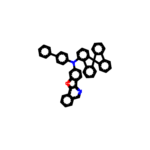 c1ccc(-c2ccc(N(c3ccc4c(c3)oc3c5ccccc5cnc43)c3cccc4c3-c3ccccc3C43c4ccccc4-c4ccccc43)cc2)cc1